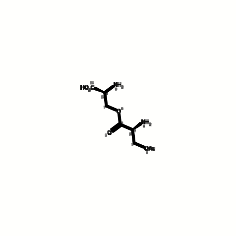 CC(=O)OC[C@H](N)C(=O)OC[C@H](N)C(=O)O